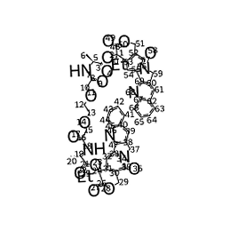 CC[C@@]1(OC(=O)[C@H](C)NC(=O)COCCOCC(=O)N[C@@H](C)C(=O)O[C@]2(CC)C(=O)OCc3c2cc2n(c3=O)Cc3cc4ccccc4nc3-2)C(=O)OCc2c1cc1n(c2=O)Cc2cc3ccccc3nc2-1